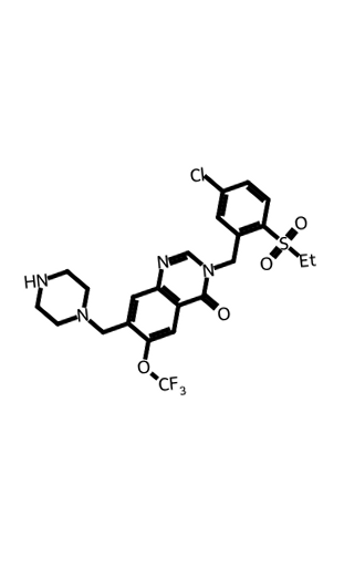 CCS(=O)(=O)c1ccc(Cl)cc1Cn1cnc2cc(CN3CCNCC3)c(OC(F)(F)F)cc2c1=O